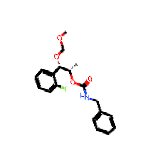 COCO[C@@H](c1ccccc1F)[C@H](C)OC(=O)NCc1ccccc1